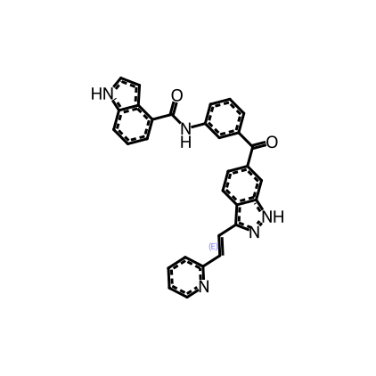 O=C(c1cccc(NC(=O)c2cccc3[nH]ccc23)c1)c1ccc2c(/C=C/c3ccccn3)n[nH]c2c1